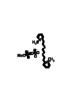 COS(=O)(=O)[O-].COS(=O)(=O)[O-].C[n+]1ccccc1CCSCCSCCc1cccc[n+]1C